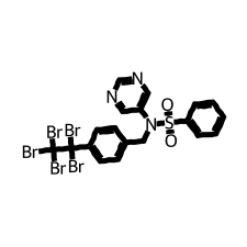 O=S(=O)(c1ccccc1)N(Cc1ccc(C(Br)(Br)C(Br)(Br)Br)cc1)c1cncnc1